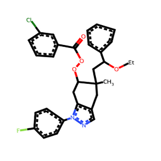 CCOC(CC1(C)Cc2cnn(-c3ccc(F)cc3)c2CC1OOC(=O)c1cccc(Cl)c1)c1ccccc1